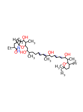 CCC1CC(C)C2(NC1=O)OC(CC(O)C(C)CC/C=C/C=C(\C)C(O)C/C=C/C=C/C(O)C(C)C1OC(C)(C)CCC1C(C)C)C(C)C(O)C2C